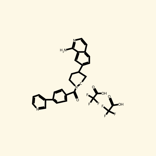 Nc1nccc2ccc(C3CCN(C(=O)c4ccc(-c5cccnc5)cc4)CC3)cc12.O=C(O)C(F)(F)F.O=C(O)C(F)(F)F